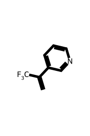 C=C(c1cccnc1)C(F)(F)F